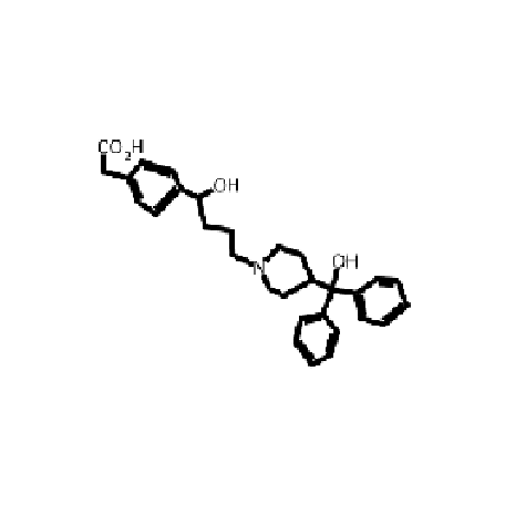 O=C(O)Cc1ccc(C(O)CCCN2CCC(C(O)(c3ccccc3)c3ccccc3)CC2)cc1